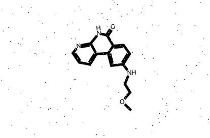 COCCNc1ccc2c(=O)[nH]c3ncccc3c2c1